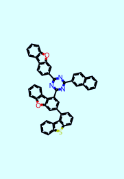 c1ccc2cc(-c3nc(-c4ccc5c(c4)oc4ccccc45)nc(-c4cc(-c5cccc6sc7ccccc7c56)cc5oc6ccccc6c45)n3)ccc2c1